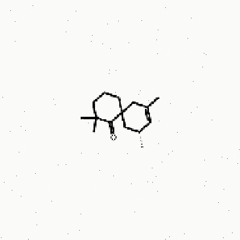 CC1=C[C@H](C)CC2(CCCC(C)(C)C2=O)C1